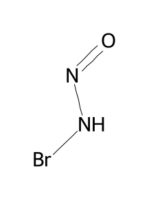 O=NNBr